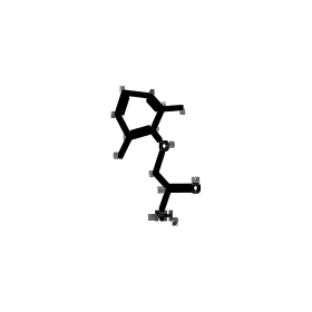 Cc1cccc(C)c1OCC(N)=O